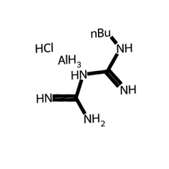 CCCCNC(=N)NC(=N)N.Cl.[AlH3]